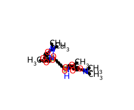 CCCCc1oc2ccc(NS(=O)(=O)CCCCCCCCCCS(=O)(=O)Nc3ccc4oc(CCCC)c(C(=O)c5ccc(OCCCN(CCCC)CCCC)cc5)c4c3)cc2c1C(=O)c1ccc(OCCCN(CCCC)CCCC)cc1